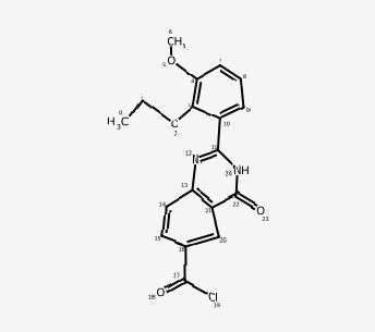 CCOc1c(OC)cccc1-c1nc2ccc(C(=O)Cl)cc2c(=O)[nH]1